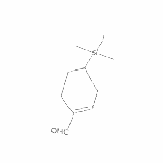 C[Si](C)(C)C1CC=C(C=O)CC1